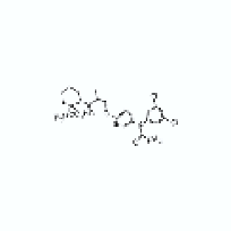 CC(COc1ccc(N(C(N)=O)c2cc(Cl)cc(Cl)c2)cc1)C(=O)C1CCCCC1(N)C(=O)O